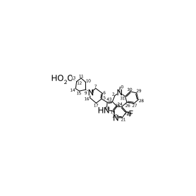 CN1Cc2c(C3=CCN([C@H]4CC[C@@H](C(=O)O)CC4)CC3)[nH]c3ncc(F)c(c23)-c2ccccc21